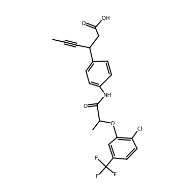 CC#CC(CC(=O)O)c1ccc(NC(=O)C(C)Oc2cc(C(F)(F)F)ccc2Cl)cc1